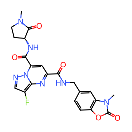 CN1CC[C@H](NC(=O)c2cc(C(=O)NCc3ccc4oc(=O)n(C)c4c3)nc3c(F)cnn23)C1=O